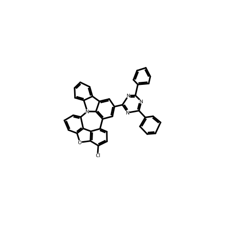 Clc1ccc2c3cc(-c4nc(-c5ccccc5)nc(-c5ccccc5)n4)cc4c5ccccc5n(c5cccc6oc1c2c65)c34